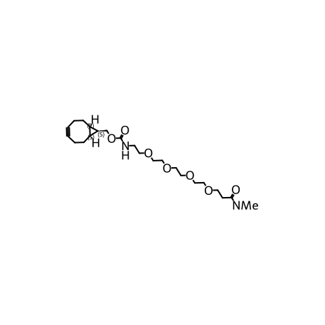 CNC(=O)CCOCCOCCOCCOCCNC(=O)OC[C@@H]1[C@@H]2CCC#CCC[C@@H]21